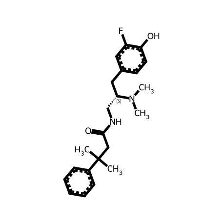 CN(C)[C@H](CNC(=O)CC(C)(C)c1ccccc1)Cc1ccc(O)c(F)c1